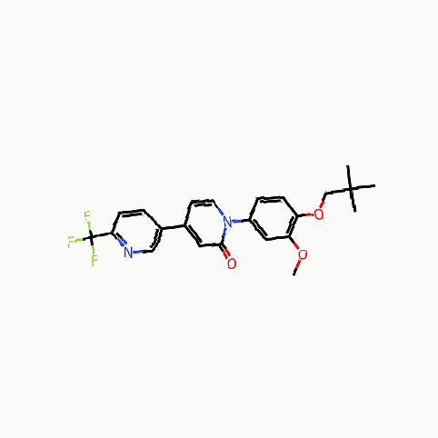 COc1cc(-n2ccc(-c3ccc(C(F)(F)F)nc3)cc2=O)ccc1OCC(C)(C)C